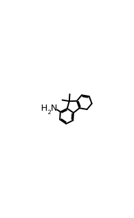 CC1(C)C2=C(CCC=C2)c2cccc(N)c21